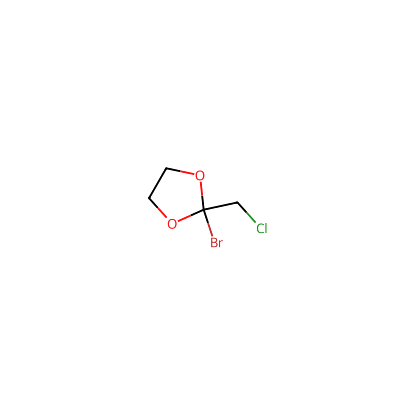 ClCC1(Br)OCCO1